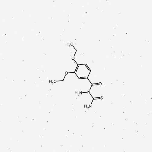 CCOc1ccc(C(=O)N(N)C(N)=S)cc1OCC